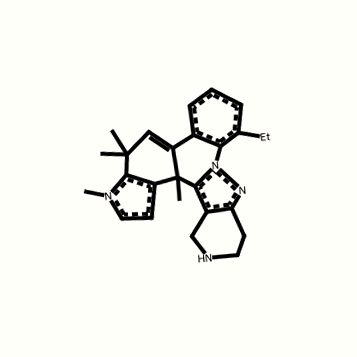 CCc1cccc2c1-n1nc3c(c1C1(C)C2=CC(C)(C)c2c1ccn2C)CNCC3